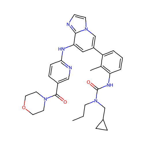 CCCN(CC1CC1)C(=O)Nc1cccc(-c2cc(Nc3ccc(C(=O)N4CCOCC4)cn3)c3nccn3c2)c1C